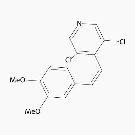 COc1ccc(/C=C\c2c(Cl)cncc2Cl)cc1OC